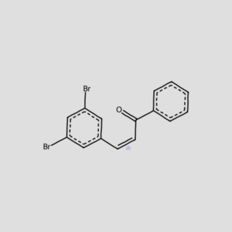 O=C(/C=C\c1cc(Br)cc(Br)c1)c1ccccc1